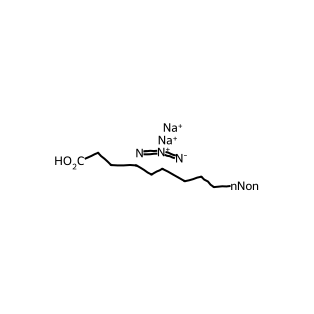 CCCCCCCCCCCCCCCCCC(=O)O.[N-]=[N+]=[N-].[Na+].[Na+]